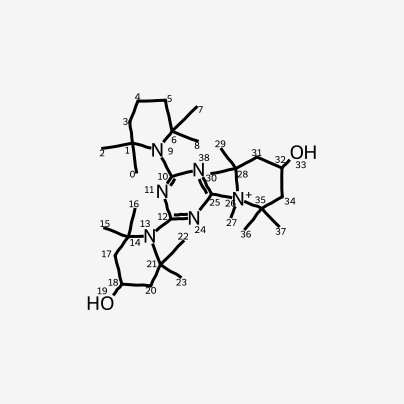 CC1(C)CCCC(C)(C)N1c1nc(N2C(C)(C)CC(O)CC2(C)C)nc([N+]2(C)C(C)(C)CC(O)CC2(C)C)n1